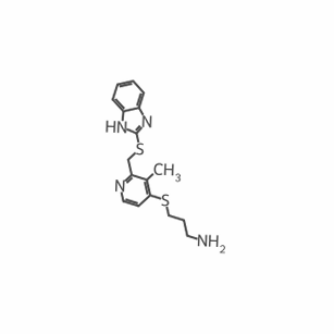 Cc1c(SCCCN)ccnc1CSc1nc2ccccc2[nH]1